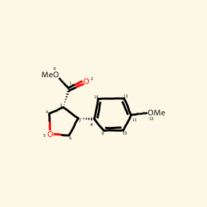 COC(=O)[C@H]1COC[C@H]1c1ccc(OC)cc1